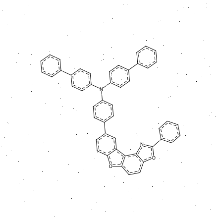 c1ccc(-c2ccc(N(c3ccc(-c4ccccc4)cc3)c3ccc(-c4ccc5oc6ccc7oc(-c8ccccc8)nc7c6c5c4)cc3)cc2)cc1